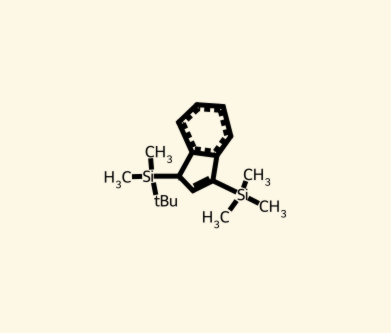 CC(C)(C)[Si](C)(C)[C]1C=C([Si](C)(C)C)c2ccccc21